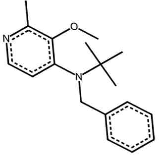 COc1c(N(Cc2ccccc2)C(C)(C)C)ccnc1C